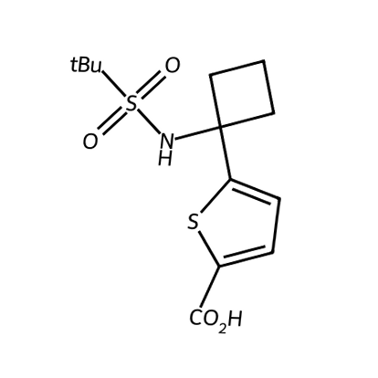 CC(C)(C)S(=O)(=O)NC1(c2ccc(C(=O)O)s2)CCC1